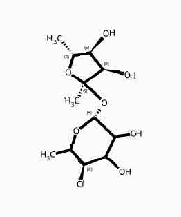 CC1O[C@H](O[C@@]2(C)O[C@H](C)[C@@H](O)[C@H]2O)C(O)C(O)[C@H]1Cl